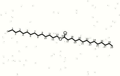 CCCCCCCCCCCCCCOC([O])CCCCCCCCCCCCC